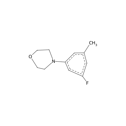 Cc1cc(F)cc(N2CCOCC2)c1